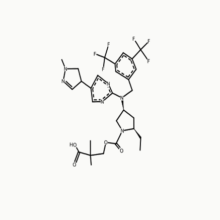 CC[C@@H]1C[C@H](N(Cc2cc(C(F)(F)F)cc(C(F)(F)F)c2)c2ncc(C3C=NN(C)C3)cn2)CN1C(=O)OCC(C)(C)C(=O)O